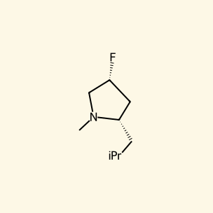 CC(C)C[C@H]1C[C@@H](F)CN1C